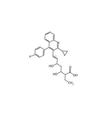 CCC(C(=O)O)C(O)CC(O)/C=C/c1c(C2CC2)nc2ccccc2c1-c1ccc(F)cc1